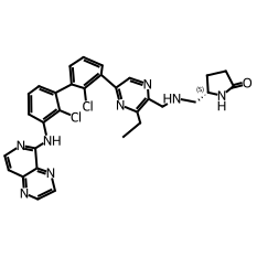 CCc1nc(-c2cccc(-c3cccc(Nc4nccc5nccnc45)c3Cl)c2Cl)cnc1CNC[C@@H]1CCC(=O)N1